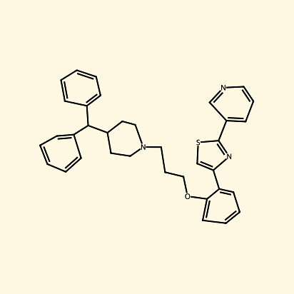 c1ccc(C(c2ccccc2)C2CCN(CCCOc3ccccc3-c3csc(-c4cccnc4)n3)CC2)cc1